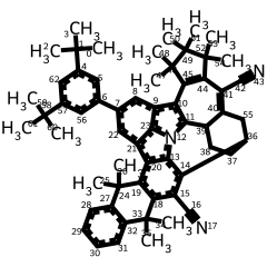 CC(C)(C)c1cc(-c2cc3c4c5n6c7c(c(C#N)c8c(c7c(c2)c36)C(C)(C)c2ccccc2C8(C)C)C2CCC5C(=C(C#N)C3=C4C(C)(C)C(C)(C)C3(C)C)C2)cc(C(C)(C)C)c1